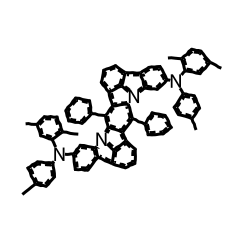 Cc1ccc(N(c2ccc3c4cccc5c6c(-c7ccccc7)c7c(c(-c8ccccc8)c6n(c3c2)c45)c2cccc3c4ccc(N(c5ccc(C)cc5)c5cc(C)ccc5C)cc4n7c32)c2cc(C)ccc2C)cc1